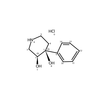 Cl.O[C@H]1CNCC[C@]1(O)c1ccccc1